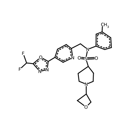 Cc1cccc(N(Cc2ccc(-c3nnc(C(F)F)o3)cn2)S(=O)(=O)C2CCN(C3COC3)CC2)c1